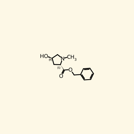 CN1C[C@H](O)C[C@H]1C(=O)OCc1ccccc1